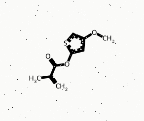 C=C(C)C(=O)Oc1cc(OC)cs1